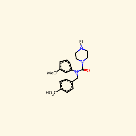 CCN1CCN(C(=O)N(Cc2ccc(C(=O)O)cc2)c2cccc(OC)c2)CC1